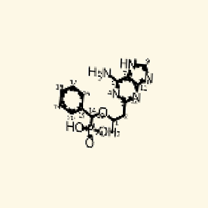 C[C@H](Cc1nc(N)c2[nH]cnc2n1)OC(c1ccccc1)P(=O)(O)O